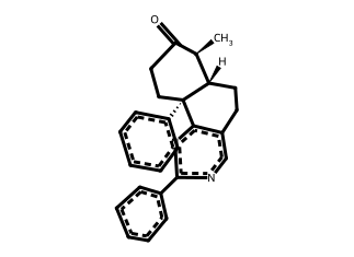 C[C@@H]1C(=O)CC[C@]2(c3ccccc3)c3nc(-c4ccccc4)ncc3CC[C@@H]12